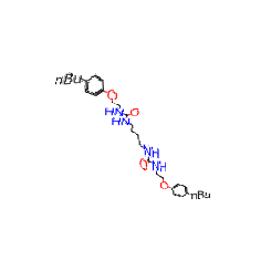 CCCCc1ccc(OCCNC(=O)NCCCCNC(=O)NCCOc2ccc(CCCC)cc2)cc1